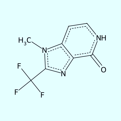 Cn1c(C(F)(F)F)nc2c(=O)[nH]ccc21